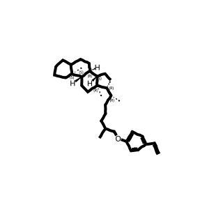 C=Cc1ccc(OCC(C)CCC[C@@H](C)[C@H]2CC[C@H]3[C@@H]4CCC5CCCC[C@]5(C)[C@H]4CC[C@]23C)cc1